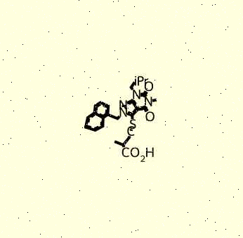 CC(C)Cn1c(=O)n(C)c(=O)c2c(SCCC(C)C(=O)O)n(Cc3cccc4ccccc34)nc21